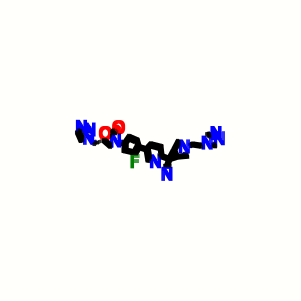 N#CC1(c2ccc(-c3ccc(N4C[C@H](Cn5ccnn5)OC4=O)cc3F)cn2)C2CN(CCn3cnnc3)CC21